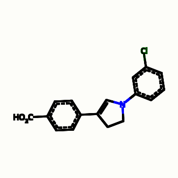 O=C(O)c1ccc(C2=CN(c3cccc(Cl)c3)CC2)cc1